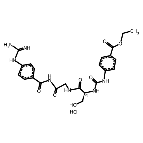 CCOC(=O)c1ccc(NC(=O)N[C@@H](CO)C(=O)NCC(=O)NC(=O)c2ccc(NC(=N)N)cc2)cc1.Cl